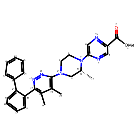 COC(=O)c1cnc(N2CCN(c3nnc(-c4ccccc4-c4ccccc4)c(C)c3C)C[C@H]2C)cn1